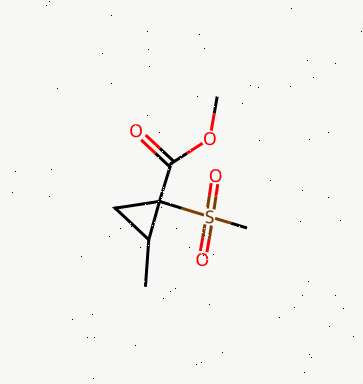 COC(=O)C1(S(C)(=O)=O)CC1C